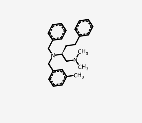 Cc1cccc(CN(Cc2ccccc2)[C@@H](CCc2ccccc2)CN(C)C)c1